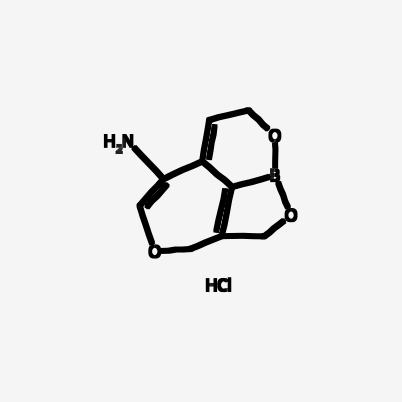 Cl.NC1=COCC2=C3B(OCC=C13)OC2